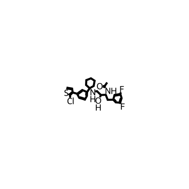 CC(=O)NC(Cc1cc(F)cc(F)c1)C(O)CNC1(c2cccc(-c3ccsc3Cl)c2)CCCCC1